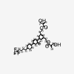 C=C(CO)C(=O)OCCc1cc(CCOC(=O)C(=C)CO)cc(-c2ccc(C3CCC(CCCCC(F)(F)F)CC3)cc2F)c1